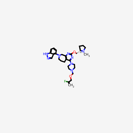 C=C(F)COCN1CCN(c2nc(OC[C@@H]3CCCN3C)nc3c2CCCN(c2cccc4[nH]ncc24)C3)CC1